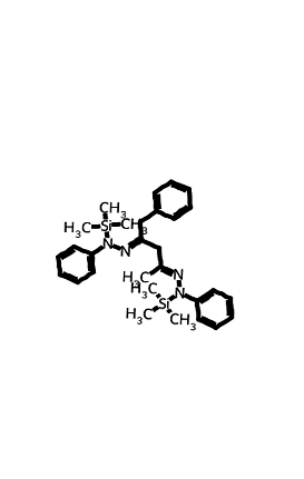 CC(CC(Cc1ccccc1)=NN(c1ccccc1)[Si](C)(C)C)=NN(c1ccccc1)[Si](C)(C)C